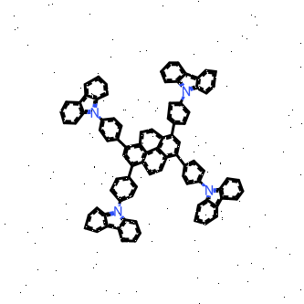 c1ccc2c(c1)c1ccccc1n2-c1ccc(-c2cc(-c3ccc(-n4c5ccccc5c5ccccc54)cc3)c3ccc4c(-c5ccc(-n6c7ccccc7c7ccccc76)cc5)cc(-c5ccc(-n6c7ccccc7c7ccccc76)cc5)c5ccc2c3c54)cc1